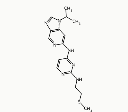 CSCCNc1nccc(Nc2cc3c(cn2)ncn3C(C)C)n1